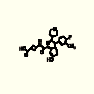 Cc1cc(-c2c(C3CCOCC3)nc(C(=O)NC3CC(C(=O)O)C3)c3cc(O)ccc23)ccc1F